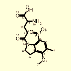 COc1c(C)cc([N+](=O)[O-])c2c1CCN2C(=O)CCC(N)C(=O)O